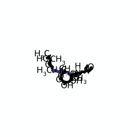 CCC(O)C(C)C1OC1CC(C)/C=C/C=C(\C)C1OC(=O)CC(O)CCC(C)(O)C(OC(=O)NCCCN2CCOCC2)/C=C/C1C